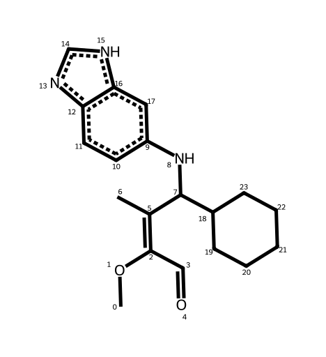 CO/C(C=O)=C(\C)C(Nc1ccc2nc[nH]c2c1)C1CCCCC1